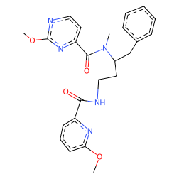 COc1cccc(C(=O)NCCC(Cc2ccccc2)N(C)C(=O)c2ccnc(OC)n2)n1